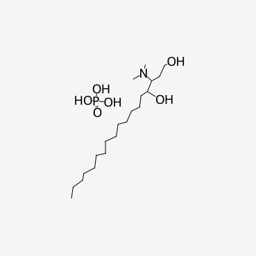 CCCCCCCCCCCCCCC(O)C(CCO)N(C)C.O=P(O)(O)O